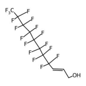 OCC=CC(F)(F)C(F)(F)C(F)(F)C(F)(F)C(F)(F)C(F)(F)C(F)(F)C(F)(F)F